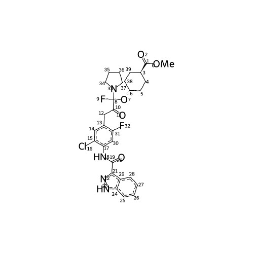 COC(=O)[C@H]1CC[C@H](OC(F)(C(=O)Cc2cc(Cl)c(NC(=O)c3n[nH]c4ccccc34)cc2F)N2CCCC2)CC1